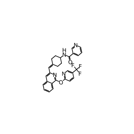 O=C(NC1CCC(=Cc2cc3ccccc3c(Oc3ccc(C(F)(F)F)cn3)n2)CC1)c1cccnc1